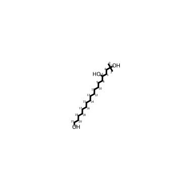 CC(C)(O)CCC(O)CCCCCCCCCCCCCCO